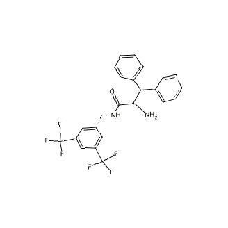 NC(C(=O)NCc1cc(C(F)(F)F)cc(C(F)(F)F)c1)C(c1ccccc1)c1ccccc1